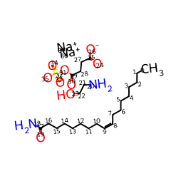 CCCCCCCC/C=C\CCCCCCCC(N)=O.NCCO.O=C([O-])CCC(=O)OS(=O)(=O)[O-].[Na+].[Na+]